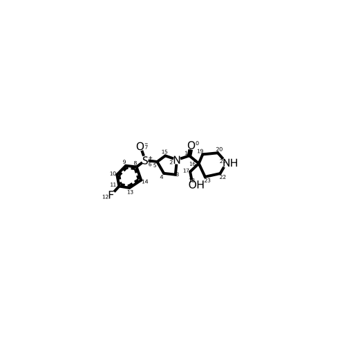 O=C(N1CCC([S+]([O-])c2ccc(F)cc2)C1)C1(CO)CCNCC1